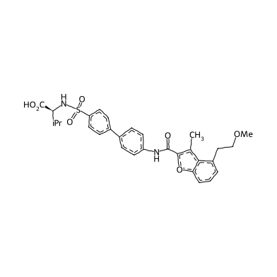 COCCc1cccc2oc(C(=O)Nc3ccc(-c4ccc(S(=O)(=O)N[C@H](C(=O)O)C(C)C)cc4)cc3)c(C)c12